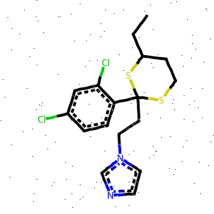 CCC1CCSC(CCn2ccnc2)(c2ccc(Cl)cc2Cl)S1